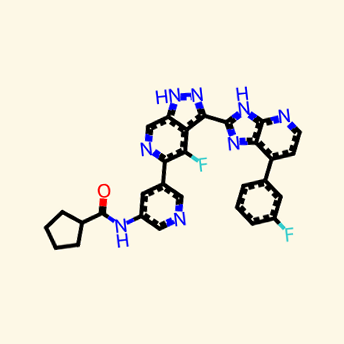 O=C(Nc1cncc(-c2ncc3[nH]nc(-c4nc5c(-c6cccc(F)c6)ccnc5[nH]4)c3c2F)c1)C1CCCC1